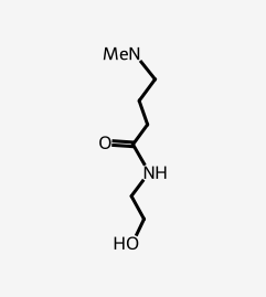 CNCCCC(=O)NCCO